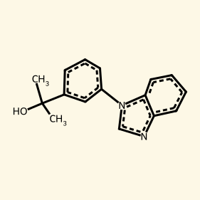 CC(C)(O)c1cccc(-n2cnc3ccccc32)c1